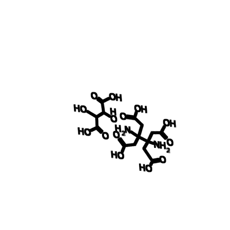 NC(CC(=O)O)(CC(=O)O)C(N)(CC(=O)O)CC(=O)O.O=C(O)C(O)C(O)C(=O)O